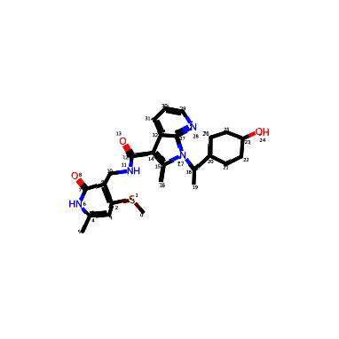 CSc1cc(C)[nH]c(=O)c1CNC(=O)c1c(C)n(C(C)C2CCC(O)CC2)c2ncccc12